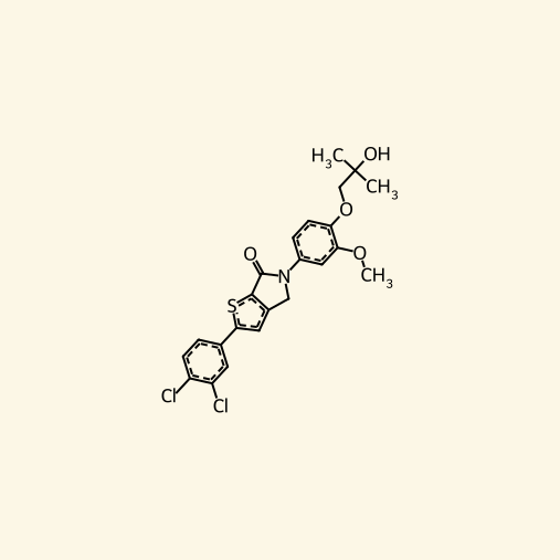 COc1cc(N2Cc3cc(-c4ccc(Cl)c(Cl)c4)sc3C2=O)ccc1OCC(C)(C)O